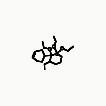 CCOC1(C2CC=CCC2)C(CC)CCC[Si]1(OCC)OCC